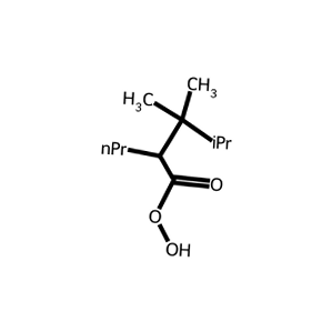 CCCC(C(=O)OO)C(C)(C)C(C)C